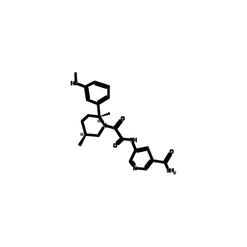 CNc1cccc([C@]2(C)CC[C@H](C)CN2C(=O)C(=O)Nc2cncc(C(N)=O)c2)c1